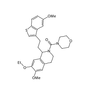 CCOc1cc2c(cc1OC)CCN(C(=O)N1CCOCC1)C2CCc1csc2ccc(OC)cc12